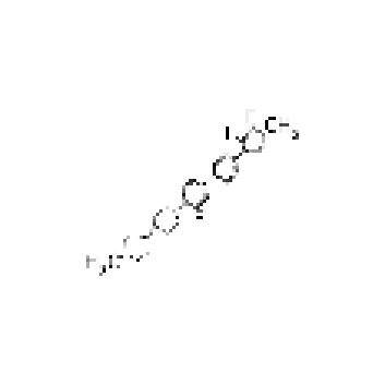 Cc1ccc(-c2ccc(-c3ccc(C4CCC(C5CCC(C)CC5)CC4)c(F)c3)cc2)c(F)c1F